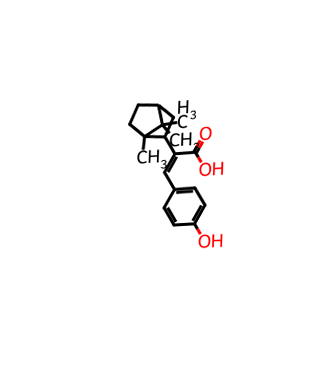 CC1(C)C2CCC1(C)C(C(=Cc1ccc(O)cc1)C(=O)O)C2